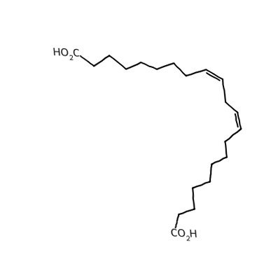 O=C(O)CCCCCCC/C=C\C/C=C\CCCCCCCC(=O)O